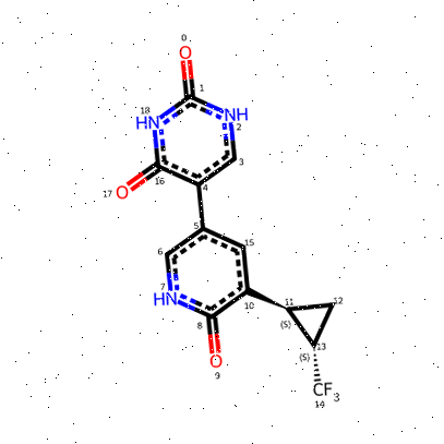 O=c1[nH]cc(-c2c[nH]c(=O)c([C@H]3C[C@@H]3C(F)(F)F)c2)c(=O)[nH]1